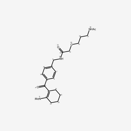 CNC1=C(C(=O)c2ccc(CNC(=O)COCCCNC(C)=O)cc2)CCCC1